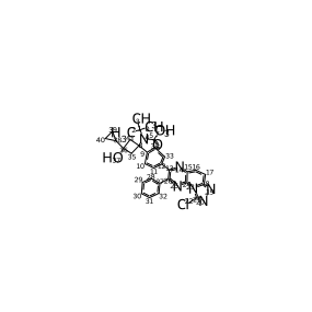 CC(C)(C)N(C(=O)O)C1(c2ccc(-c3nc4ccc5nnc(Cl)n5c4nc3-c3ccccc3)cc2)CC(O)(C2CC2)C1